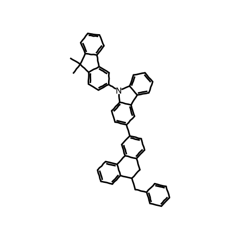 CC1(C)c2ccccc2-c2cc(-n3c4ccccc4c4cc(-c5ccc6c(c5)-c5ccccc5C(Cc5ccccc5)C6)ccc43)ccc21